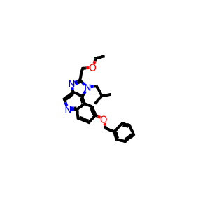 CCOCc1nc2cnc3ccc(OCc4ccccc4)cc3c2n1CC(C)C